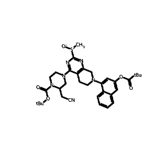 C[S+]([O-])c1nc2c(c(N3CCN(C(=O)OC(C)(C)C)C(CC#N)C3)n1)CCN(c1cc(OC(=O)C(C)(C)C)cc3ccccc13)C2